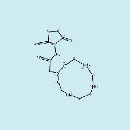 O=C(CN1CCNCCNCCNCC1)ON1C(=O)CCC1=O